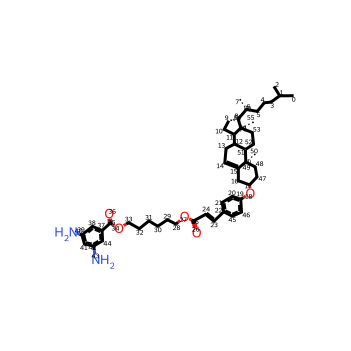 CC(C)CCC[C@@H](C)[C@H]1CCC2C3CC=C4CC(Oc5ccc(C=CC(=O)OCCCCCCOC(=O)c6cc(N)cc(N)c6)cc5)CC[C@]4(C)C3CC[C@@]21C